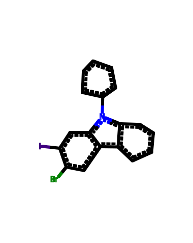 Brc1cc2c3ccccc3n(-c3ccccc3)c2cc1I